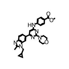 COC(=O)c1ccc(Nc2cc(-c3ccc4nc(C)n(CC5CC5)c4c3)nc(N3CCOCC3)n2)cc1